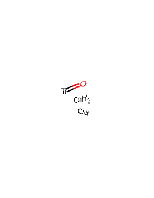 [CaH2].[Cu].[O]=[Ti]